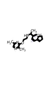 C/C=C(\C=C/C1=CCCC1)C(C)NCCOc1nc(C)cnc1C